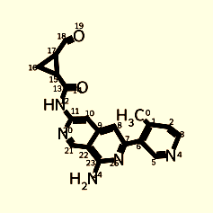 Cc1ccncc1-c1cc2cc(NC(=O)C3CC3C=O)ncc2c(N)n1